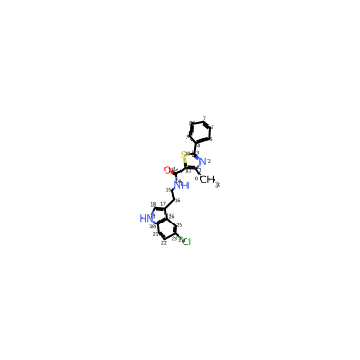 Cc1nc(-c2ccccc2)sc1C(=O)NCCc1c[nH]c2ccc(Cl)cc12